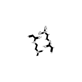 C=CC(=O)OCCN(C)C.C=CC(=O)OCCN(CC)CC